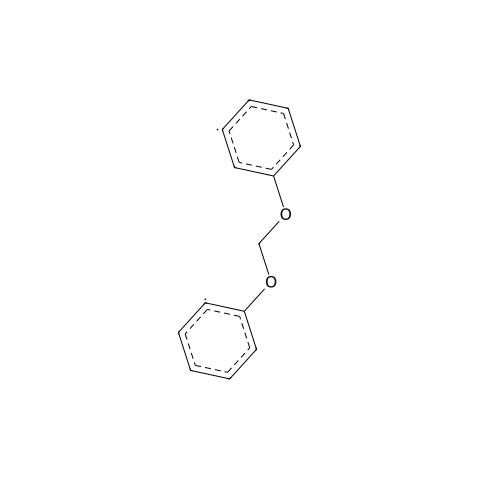 [c]1cccc(OCOc2[c]cccc2)c1